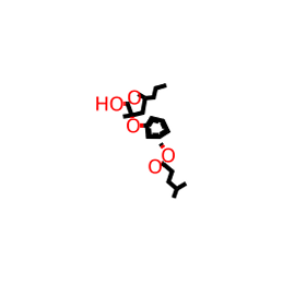 CCCC(C)CC(C)(Oc1ccccc1)C(=O)O.COC(=O)CCC(C)C